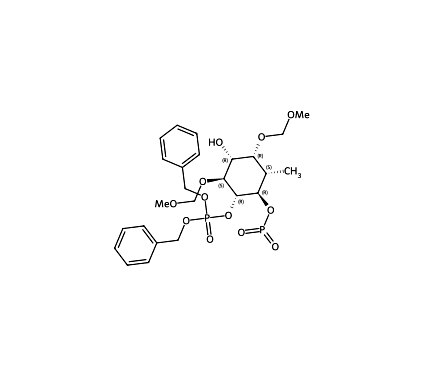 COCO[C@@H]1[C@H](C)[C@@H](OP(=O)=O)[C@H](OP(=O)(OCc2ccccc2)OCc2ccccc2)[C@@H](OCOC)[C@@H]1O